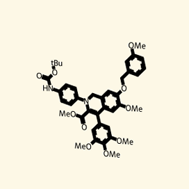 COC(=O)C1=C(c2cc(OC)c(OC)c(OC)c2)c2cc(OC)c(OCc3cccc(OC)c3)cc2CN1c1ccc(NC(=O)OC(C)(C)C)cc1